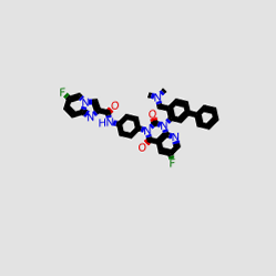 CN(C)Cc1ccc(-c2ccccc2)cc1-n1c(=O)n(C2CCC(NC(=O)c3cn4cc(F)ccc4n3)CC2)c(=O)c2cc(F)cnc21